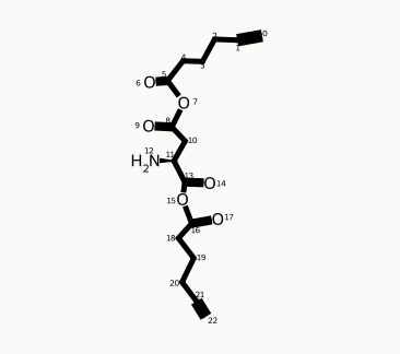 C#CCCCC(=O)OC(=O)C[C@H](N)C(=O)OC(=O)CCCC#C